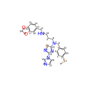 CSc1ccc(CN(CCCNCc2ccc3c(c2)OCO3)c2nc(-n3ccnc3)ns2)cc1